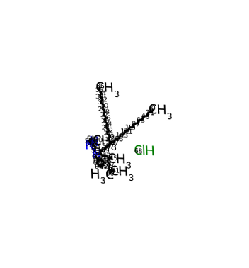 CCCCCCCCCCCCCCCCCCC(CCCCCCCCCCCCCCCCCC)CCCCC(CCC(C)CCCC(C)C)N(CCc1nccn1C)Cc1ccccc1.Cl